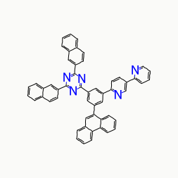 c1ccc(-c2ccc(-c3cc(-c4nc(-c5ccc6ccccc6c5)nc(-c5ccc6ccccc6c5)n4)cc(-c4cc5ccccc5c5ccccc45)c3)nc2)nc1